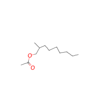 CCCCCCCC(C)COC(C)=O